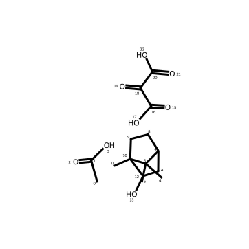 CC(=O)O.CC1(C)C2CCC1(C)C(O)C2.O=C(O)C(=O)C(=O)O